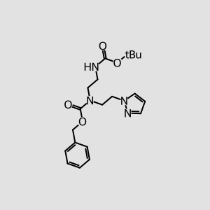 CC(C)(C)OC(=O)NCCN(CCn1cccn1)C(=O)OCc1ccccc1